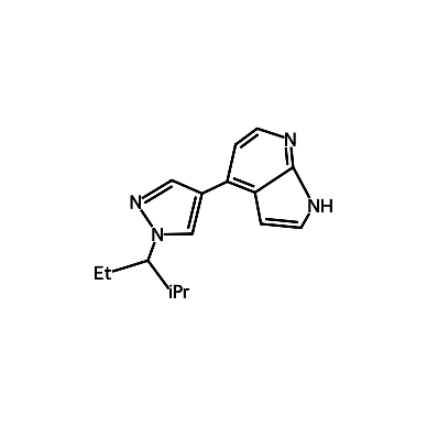 CCC(C(C)C)n1cc(-c2ccnc3[nH]ccc23)cn1